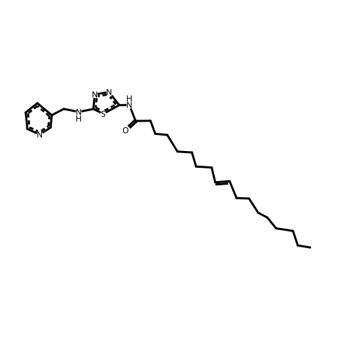 CCCCCCCC/C=C/CCCCCCCC(=O)Nc1nnc(NCc2cccnc2)s1